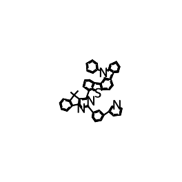 CC1(C)c2ccccc2-c2nc(-c3cccc(-c4cccnc4)c3)nc(-c3cccc4c3sc3ccc5c6ccccc6n(-c6ccccc6)c5c34)c21